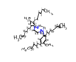 CCCCCCc1cc(N2CCN(c3cc(CCCCCC)c(C)cc3CCCCCC)CC2)c(CCCCCC)cc1C